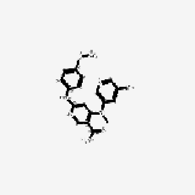 CN(c1cncc(F)c1)c1cc(Nc2ccc(OC(F)(F)F)cc2)ncc1C(N)=O